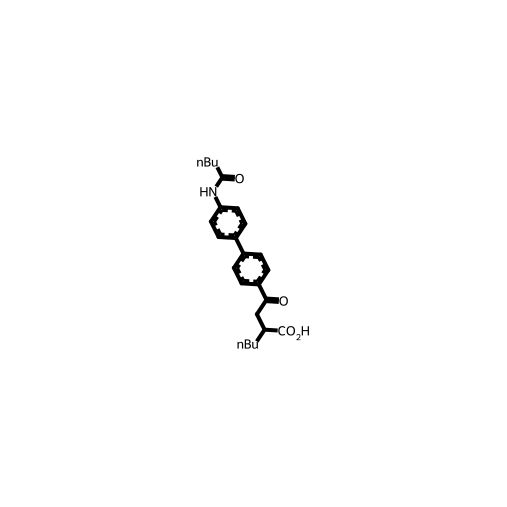 CCCCC(=O)Nc1ccc(-c2ccc(C(=O)CC(CCCC)C(=O)O)cc2)cc1